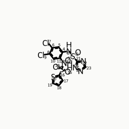 O=S(=O)(Nc1cc(Cl)c(Cl)cc1NS(=O)(=O)c1cccs1)c1ncn[nH]1